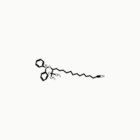 C#CCCCCCCCCCCCCC(O[SiH](c1ccccc1)c1ccccc1)C(C)(C)C